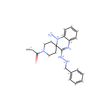 CCCCCCC(=O)N1CCC2(CC1)C(NNCc1ccccc1)=Nc1ccccc1N2N